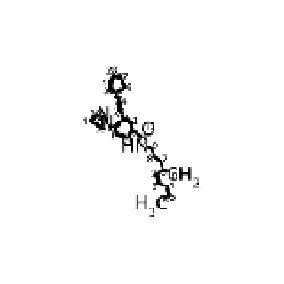 C=C(/C=C\C=C/C)CCCNC(=O)c1ccc(-n2cccn2)c(C#Cc2ccccc2)c1